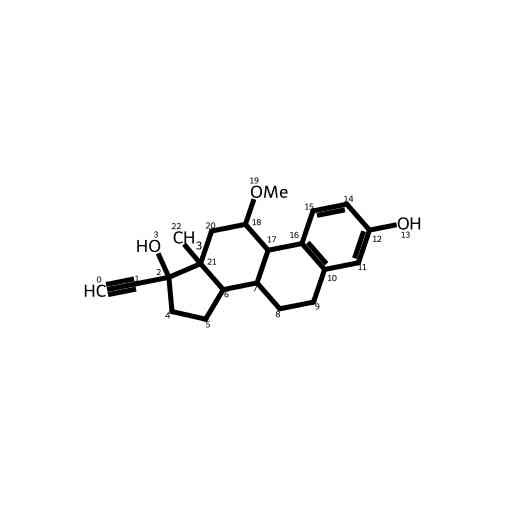 C#CC1(O)CCC2C3CCc4cc(O)ccc4C3C(OC)CC21C